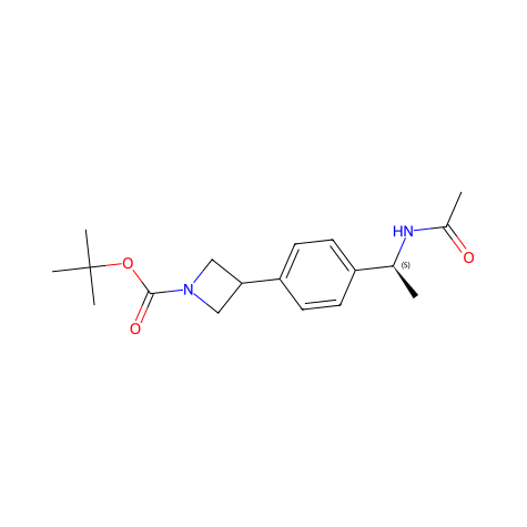 CC(=O)N[C@@H](C)c1ccc(C2CN(C(=O)OC(C)(C)C)C2)cc1